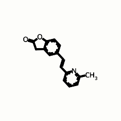 Cc1cccc(C=Cc2ccc3c(c2)CC(=O)O3)n1